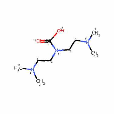 CN(C)CCN(CCN(C)C)C(=O)O